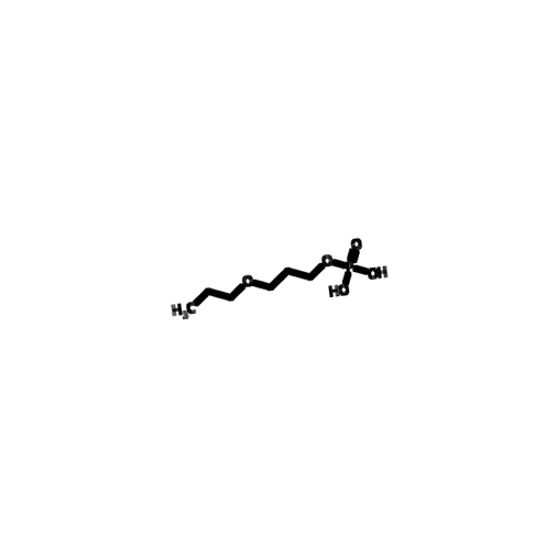 CCCOCCCOP(=O)(O)O